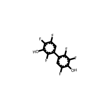 Oc1c(F)c(F)cc(-c2cc(F)c(O)c(F)c2F)c1F